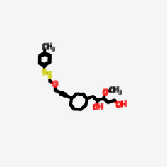 COC(CCO)C(O)CC1CCCCC(C#CCOCSSc2ccc(C)cc2)CC1